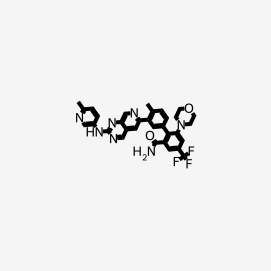 Cc1ccc(Nc2ncc3cc(-c4cc(-c5c(C(N)=O)cc(C(F)(F)F)cc5N5CCOCC5)ccc4C)ncc3n2)cn1